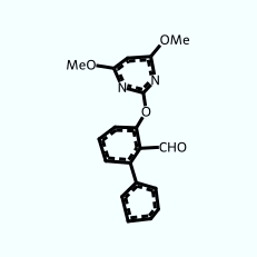 COc1cc(OC)nc(Oc2cccc(-c3ccccc3)c2C=O)n1